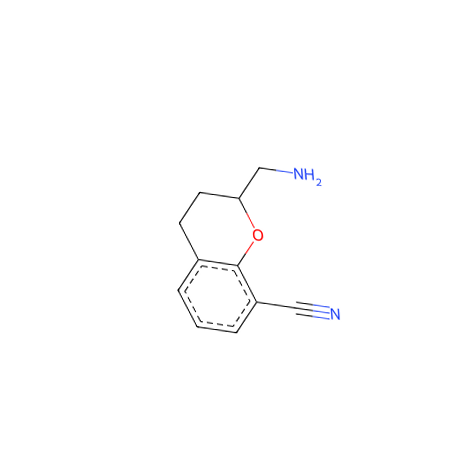 N#Cc1cccc2c1OC(CN)CC2